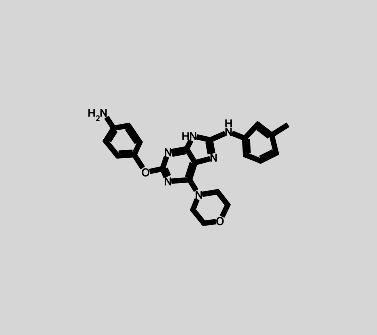 Cc1cccc(Nc2nc3c(N4CCOCC4)nc(Oc4ccc(N)cc4)nc3[nH]2)c1